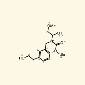 COCC(C)N(Cc1cccc(CCO)c1)C(=O)OC(C)(C)C